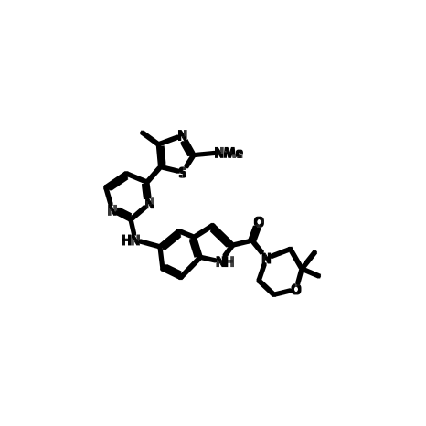 CNc1nc(C)c(-c2ccnc(Nc3ccc4[nH]c(C(=O)N5CCOC(C)(C)C5)cc4c3)n2)s1